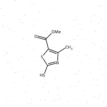 COC(=O)c1sc(S)nc1C